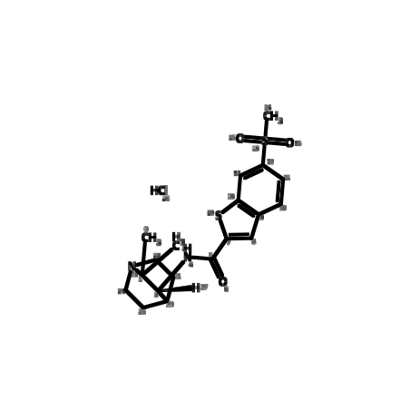 CC1(C)[C@H](NC(=O)c2cc3ccc(S(C)(=O)=O)cc3s2)C2CCN1CC2.Cl